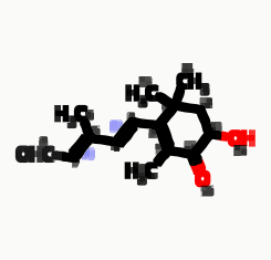 CC1=C(/C=C/C(C)=C/C=O)C(C)(C)CC(O)C1=O